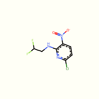 O=[N+]([O-])c1ccc(Cl)nc1NCC(F)F